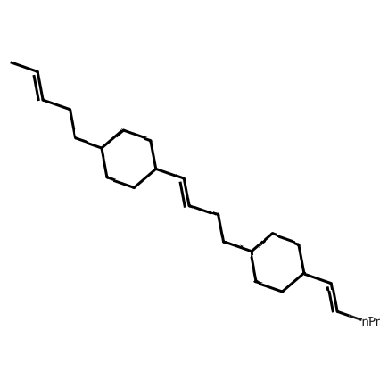 CC=CCCC1CCC(C=CCCC2CCC(C=CCCC)CC2)CC1